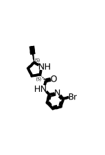 C#C[C@@H]1CC[C@@H](C(=O)Nc2cccc(Br)n2)N1